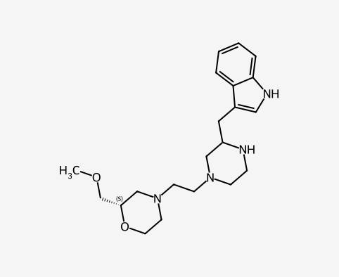 COC[C@@H]1CN(CCN2CCNC(Cc3c[nH]c4ccccc34)C2)CCO1